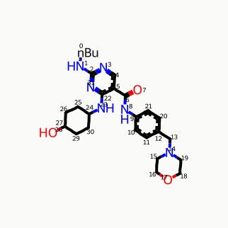 CCCCNc1ncc(C(=O)Nc2ccc(CN3CCOCC3)cc2)c(NC2CCC(O)CC2)n1